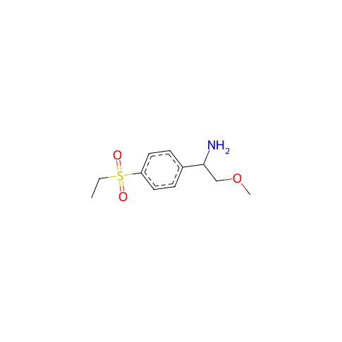 CCS(=O)(=O)c1ccc(C(N)COC)cc1